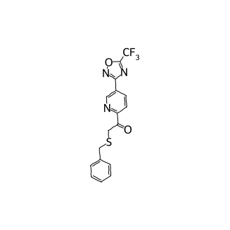 O=C(CSCc1ccccc1)c1ccc(-c2noc(C(F)(F)F)n2)cn1